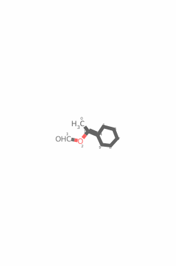 CC(OC=O)=C1CCCCC1